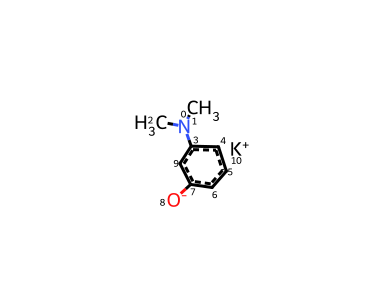 CN(C)c1cccc([O-])c1.[K+]